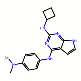 CC(=O)N(C)c1ccc(Nc2nc(NC3CCC3)nc3[nH]ccc23)cc1